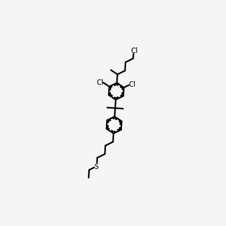 CCSCCCCc1ccc(C(C)(C)c2cc(Cl)c(C(C)CCCCl)c(Cl)c2)cc1